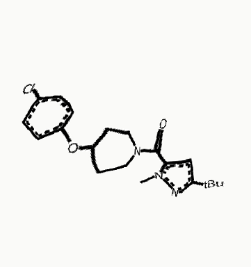 Cn1nc(C(C)(C)C)cc1C(=O)N1CCC(Oc2ccc(Cl)cc2)CC1